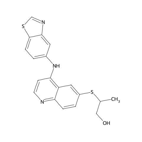 CC(CO)Sc1ccc2nccc(Nc3ccc4scnc4c3)c2c1